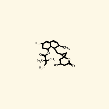 CCC(C)(C)C(=O)OC1CC(C)C=C2C=CC(C)C(CC3CC34CC(O)CC(=O)O4)C21